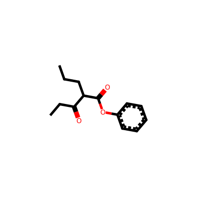 CCCC(C(=O)CC)C(=O)Oc1ccccc1